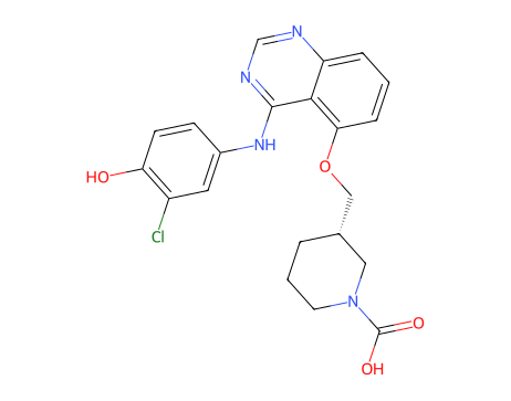 O=C(O)N1CCC[C@H](COc2cccc3ncnc(Nc4ccc(O)c(Cl)c4)c23)C1